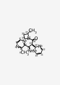 Cc1nccnc1-c1nn2cccnc2c1C(=O)N1CCC1C